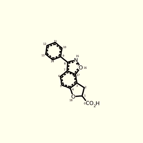 O=C(O)C1Cc2c(ccc3c(-c4ccccc4)noc23)O1